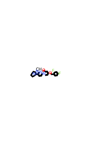 Cn1c2c(c3ccc(-n4ccc(OCc5ccc(F)cc5F)cc4=O)nc31)C1CCC(C2)N1